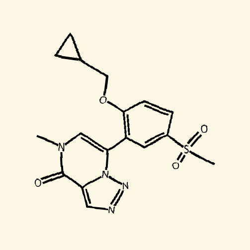 Cn1cc(-c2cc(S(C)(=O)=O)ccc2OCC2CC2)n2nncc2c1=O